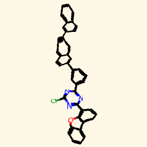 Clc1nc(-c2cccc(-c3ccc4ccc(-c5ccc6ccccc6c5)cc4c3)c2)nc(-c2cccc3c2oc2ccccc23)n1